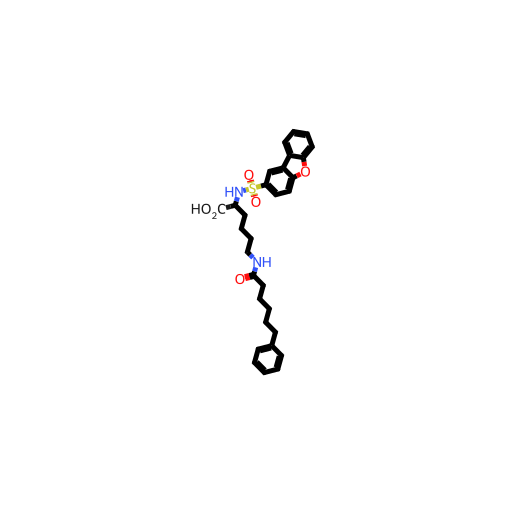 O=C(CCCCCc1ccccc1)NCCCCC(NS(=O)(=O)c1ccc2oc3ccccc3c2c1)C(=O)O